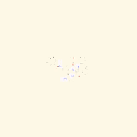 COc1ccccc1-n1c(-c2ccccc2)c(C(=O)N2CCNCC2)n(CCCNC(=O)c2ccccc2)c1=O